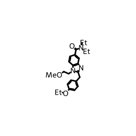 CCOc1ccc(Cc2nc3cc(C(=O)N(CC)CC)ccc3n2CCOC)cc1